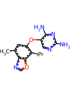 Cc1cc(Oc2cnc(N)nc2N)c(C(C)C)c2ocnc12